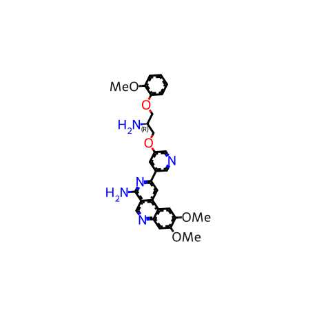 COc1cc2ncc3c(N)nc(-c4cncc(OC[C@@H](N)COc5ccccc5OC)c4)cc3c2cc1OC